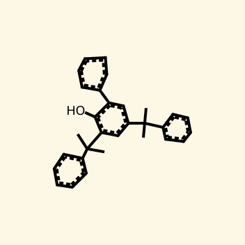 CC(C)(c1ccccc1)c1cc(-c2ccccc2)c(O)c(C(C)(C)c2ccccc2)c1